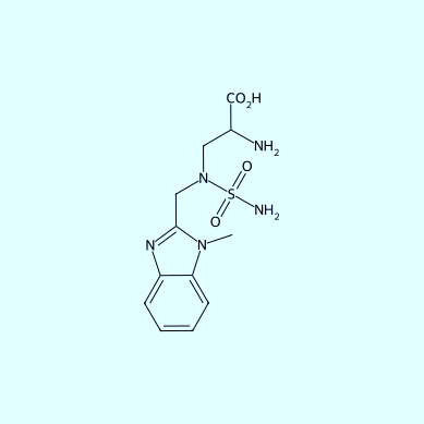 Cn1c(CN(CC(N)C(=O)O)S(N)(=O)=O)nc2ccccc21